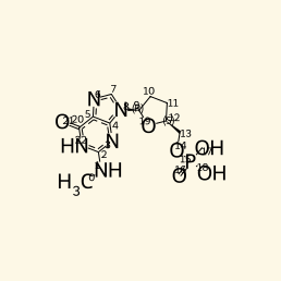 CNc1nc2c(ncn2[C@H]2CC[C@@H](COP(=O)(O)O)O2)c(=O)[nH]1